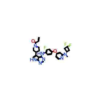 C=CC(=O)N1CCC(c2c[nH]c3ncnc(Nc4ccc(Oc5ccnc(N(C)C6CC(F)(F)C6)c5)cc4F)c23)CC1